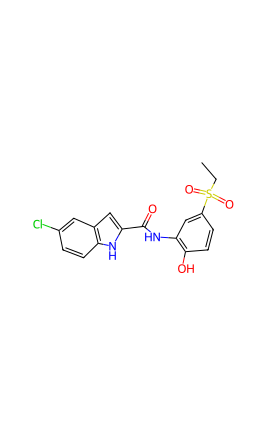 CCS(=O)(=O)c1ccc(O)c(NC(=O)c2cc3cc(Cl)ccc3[nH]2)c1